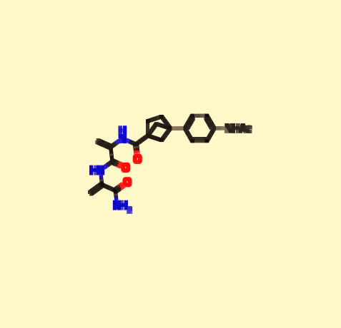 C=C(NC(=O)C(=C)NC(=O)C12CCC(c3ccc(NC(C)=O)cc3)(C1)C2)C(N)=O